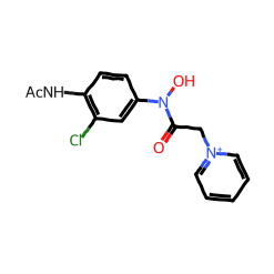 CC(=O)Nc1ccc(N(O)C(=O)C[n+]2ccccc2)cc1Cl